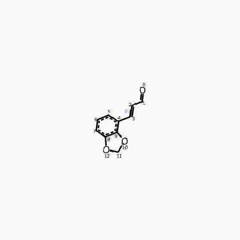 O=C/C=C/c1cccc2c1OCO2